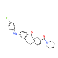 O=C1c2ccc(Nc3ccc(F)cc3)cc2CCc2ccc(C(=O)N3CCCCC3)cc21